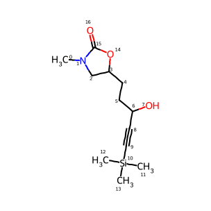 CN1CC(CCC(O)C#C[Si](C)(C)C)OC1=O